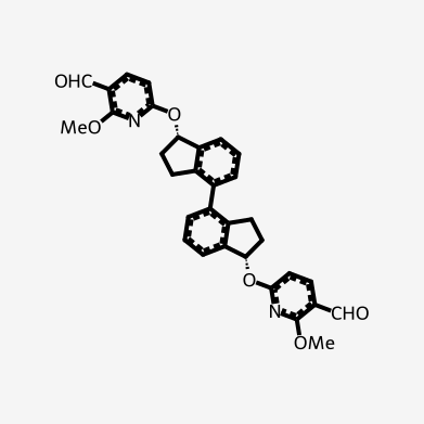 COc1nc(O[C@H]2CCc3c(-c4cccc5c4CC[C@@H]5Oc4ccc(C=O)c(OC)n4)cccc32)ccc1C=O